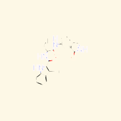 CCc1c(C(=O)N[C@@H](CC(C)C)C(=O)N[C@H](C#N)C[C@@H]2CCNC2=O)[nH]c2ccccc12